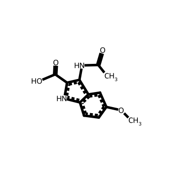 COc1ccc2[nH]c(C(=O)O)c(NC(C)=O)c2c1